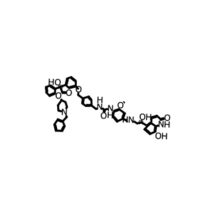 COc1cc(CNC[C@H](O)c2ccc(O)c3[nH]c(=O)ccc23)ccc1NC(=O)NCc1ccc(COc2cccc([C@](O)(C(=O)OC3CCN(Cc4ccccc4)CC3)c3ccccc3)c2)cc1